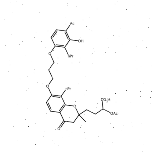 CCCc1c(OCCCOc2ccc3c(c2CCC)OC(C)(CCC(OC(C)=O)C(=O)O)CC3=O)ccc(C(C)=O)c1O